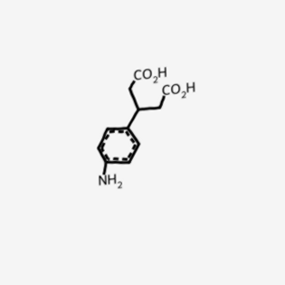 Nc1ccc(C(CC(=O)O)CC(=O)O)cc1